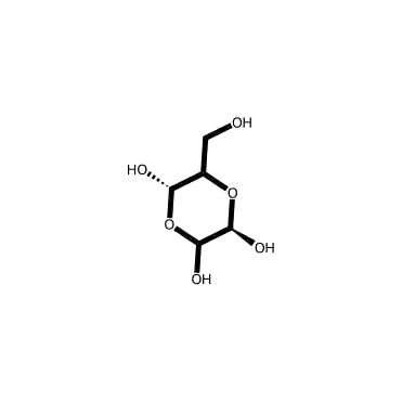 OCC1O[C@@H](O)C(O)O[C@@H]1O